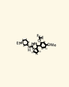 CCN1CCCC(Nc2nnc(-c3ccc(OC)cc3OC(F)F)c3cccn23)C1